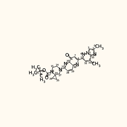 Cc1cn2nc(C3=CC(=O)C4N=C(N5CCN(C(=O)OC(C)(C)C)C6(CC6)C5)C=CC4=N3)cc(C)c2n1